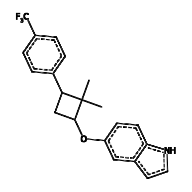 CC1(C)C(Oc2ccc3[nH]ccc3c2)CC1c1ccc(C(F)(F)F)cc1